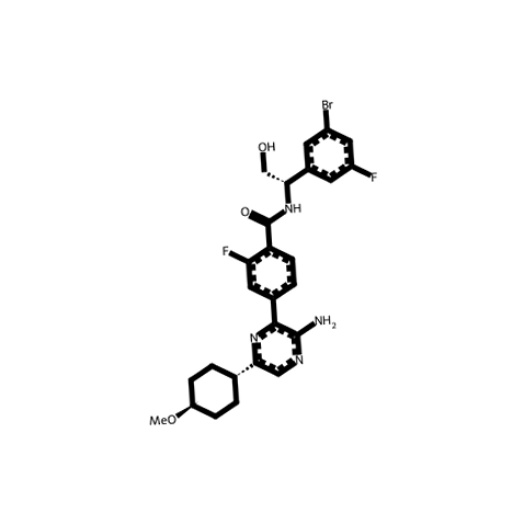 CO[C@H]1CC[C@H](c2cnc(N)c(-c3ccc(C(=O)N[C@H](CO)c4cc(F)cc(Br)c4)c(F)c3)n2)CC1